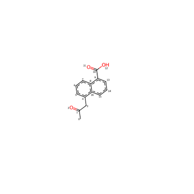 CC(=O)Cc1cccc2c(C(=O)O)cccc12